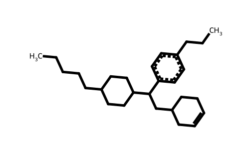 CCCCCC1CCC(C(CC2CC=CCC2)c2ccc(CCC)cc2)CC1